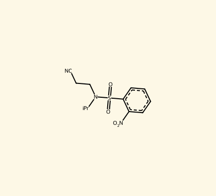 CC(C)N(CCC#N)S(=O)(=O)c1ccccc1[N+](=O)[O-]